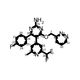 Cc1cc(-c2c(OCc3cccnn3)nc(N)nc2-c2ccc(F)cc2)cc(C(F)F)n1